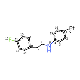 CCc1ccc(NCCc2ccc(F)cc2)cc1